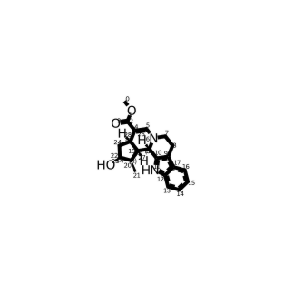 COC(=O)C1=CN2CCc3c([nH]c4ccccc34)[C@@H]2[C@@H]2[C@@H](C)[C@@H](O)C[C@H]12